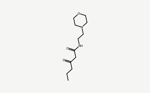 CCCC(=O)CC(=O)NCCN1CCOCC1